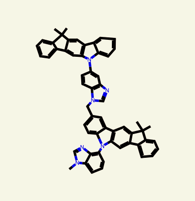 Cn1cnc2c(-n3c4ccc(Cn5cnc6cc(-n7c8ccccc8c8cc9c(cc87)-c7ccccc7C9(C)C)ccc65)cc4c4cc5c(cc43)-c3ccccc3C5(C)C)cccc21